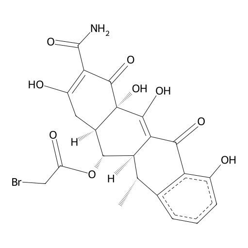 C[C@H]1c2cccc(O)c2C(=O)C2=C(O)[C@]3(O)C(=O)C(C(N)=O)=C(O)C[C@@H]3[C@@H](OC(=O)CBr)[C@@H]21